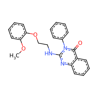 COc1ccccc1OCCNc1nc2ccccc2c(=O)n1-c1ccccc1